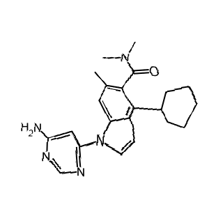 Cc1cc2c(ccn2-c2cc(N)ncn2)c(C2CCCCC2)c1C(=O)N(C)C